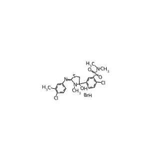 Br.Cc1cc(N=C2SCC(O)(c3ccc(Cl)c(S(=O)(=O)N(C)C)c3)N2C)ccc1Cl